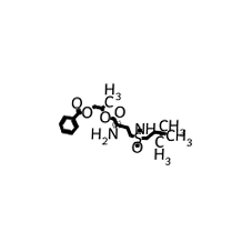 CC(COC(=O)c1ccccc1)OC(=O)[C@@H](N)CCS(=N)(=O)CCC(C)(C)C